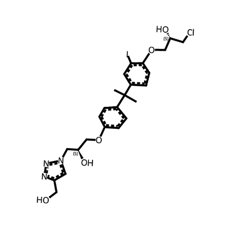 CC(C)(c1ccc(OC[C@@H](O)Cn2cc(CO)nn2)cc1)c1ccc(OC[C@H](O)CCl)c(I)c1